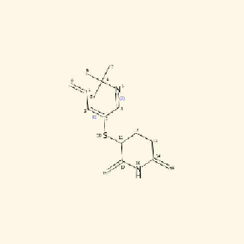 C=C/C=C(\C=N/C(C)(C)C)SC1CCC(=C)NC1=C